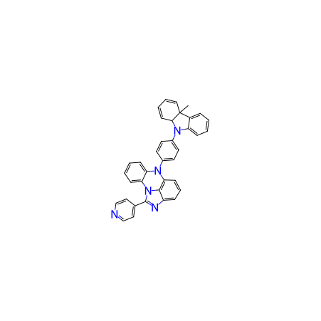 CC12C=CC=CC1N(c1ccc(N3c4ccccc4-n4c(-c5ccncc5)nc5cccc3c54)cc1)c1ccccc12